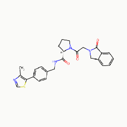 Cc1ncsc1-c1ccc(CNC(=O)[C@@H]2CCCN2C(=O)CN2Cc3ccccc3C2=O)cc1